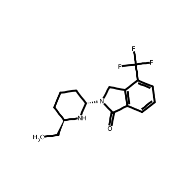 CC[C@H]1CCC[C@H](N2Cc3c(cccc3C(F)(F)F)C2=O)N1